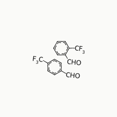 O=Cc1ccc(C(F)(F)F)cc1.O=Cc1ccccc1C(F)(F)F